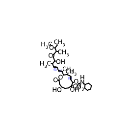 CCC(OC)C(C)C1OC1C(O)C(C)/C=C/C=C(\C)C1OC(=O)CC(O)CCC(C)(O)C(OC(=O)NC2CCCCC2)/C=C/C1C